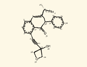 C[C@H](N)C1=Cc2cccc(C#CC3(O)COC3)c2C(=O)C1c1ccccc1